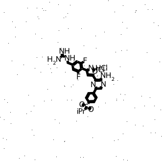 CC(C)S(=O)(=O)c1ccc(-c2cnc(N)c(-c3cc(-c4c(F)cc(CNC(=N)N)cc4F)no3)n2)cc1.Cl.Cl